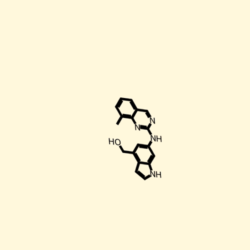 Cc1cccc2cnc(Nc3cc(CO)c4cc[nH]c4c3)nc12